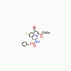 COC(=O)C1=CC(=C=O)c2cc(F)cc3c2N1CC(NC(=O)OCc1ccccc1)C3